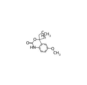 CCC1(CC)OC(=O)Nc2ccc(OC)cc21